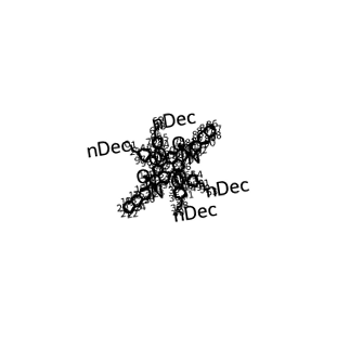 CCCCCCCCCCCCc1ccc(Oc2cc3c(=O)n4c5cc6cc7ccccc7cc6cc5nc4c4cc(Oc5ccc(CCCCCCCCCCCC)cc5)c5c6c(Oc7ccc(CCCCCCCCCCCC)cc7)cc7c8c(cc(Oc9ccc(CCCCCCCCCCCC)cc9)c(c2c5c34)c68)c(=O)n2c3cc4cc5ccccc5cc4cc3nc72)cc1